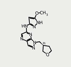 COc1cc(Nc2cnc3cnn(C[C@H]4CCOC4)c3n2)n[nH]1